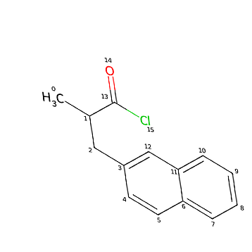 CC(Cc1ccc2ccccc2c1)C(=O)Cl